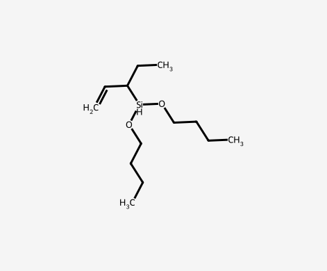 C=CC(CC)[SiH](OCCCC)OCCCC